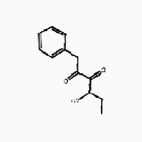 CCC(O)C(=O)C(=O)Cc1ccccc1